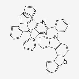 c1ccc(-c2nc(-c3ccccc3-n3c4ccccc4c4c5c(ccc43)oc3ccccc35)nc3c2[Si](c2ccccc2)(c2ccccc2)c2ccccc2-3)cc1